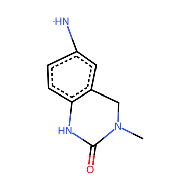 CN1Cc2cc([NH])ccc2NC1=O